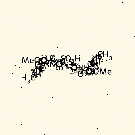 COc1ccc(C(=O)Nc2ccc(/C=C/c3ccc(NC(=O)c4ccc(OC)c(S(=O)(=O)N5CCN(C)CC5)c4)cc3S(=O)(=O)O)c(S(=O)(=O)O)c2)cc1S(=O)(=O)N1CCN(C)CC1